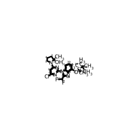 CC1(O)CCCN1c1cc(Cl)nc(-n2c(C(F)F)nc3c(O[Si](C)(C)C(C)(C)C)cccc32)n1